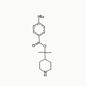 CCCCc1ccc(C(=O)OC(C)(C)C2CCNCC2)cc1